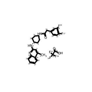 Cc1cc(N[C@H]2CC[C@@H](NC(=O)Cc3ccc(F)c(F)c3)CC2)nc2ccccc12.O=C(O)C(F)(F)F